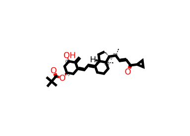 C=C1C(=CC=C2CCC[C@]3(C)[C@@H]([C@H](C)C=CC(=O)C4CC4)CC[C@@H]23)C[C@@H](OC(=O)C(C)(C)C)C[C@@H]1O